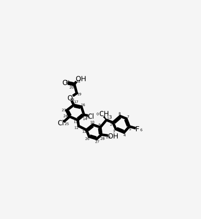 C[C@@H](c1ccc(F)cc1)c1cc(Cc2c(Cl)cc(OCC(=O)O)cc2Cl)ccc1O